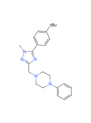 Cn1nc(CN2CCN(c3ccccc3)CC2)nc1-c1ccc(C(C)(C)C)cc1